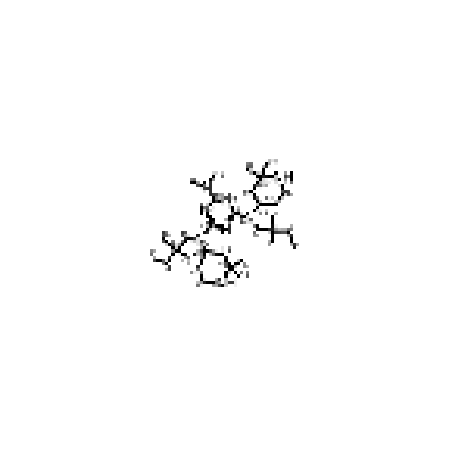 CCC(C)(C)CN(c1nc(N(C)C)nc(N(CC(C)(C)CC)C2CCNC(C)(C)C2)n1)C1CCNC(C)(C)C1